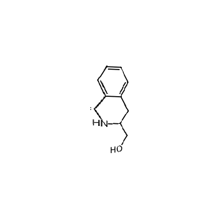 OCC1Cc2ccccc2[C]N1